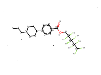 CCC[C@H]1CC[C@H](c2ccc(C(=O)OCC(F)(F)C(F)(F)C(F)(F)C(F)F)cc2)CC1